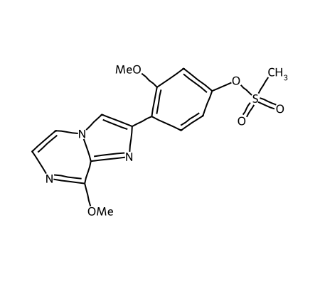 COc1cc(OS(C)(=O)=O)ccc1-c1cn2ccnc(OC)c2n1